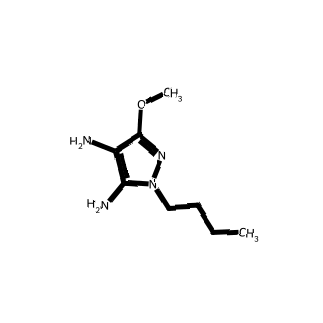 CCCCn1nc(OC)c(N)c1N